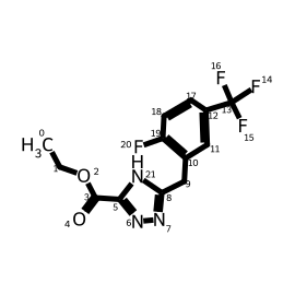 CCOC(=O)c1nnc(Cc2cc(C(F)(F)F)ccc2F)[nH]1